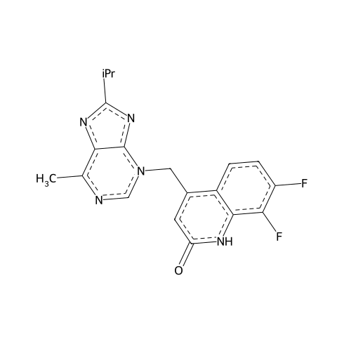 Cc1ncn(Cc2cc(=O)[nH]c3c(F)c(F)ccc23)c2nc(C(C)C)nc1-2